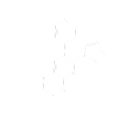 Cc1cc(-c2cc3c(=O)cc[nH]c3nc2-c2cn[nH]n2)cc(Cl)n1